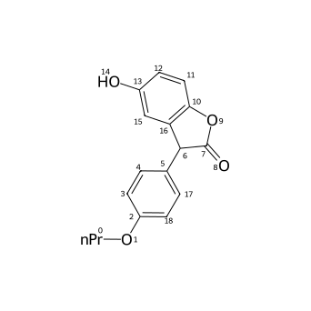 CCCOc1ccc(C2C(=O)Oc3ccc(O)cc32)cc1